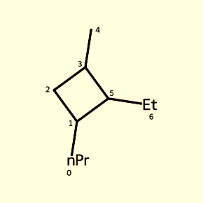 CCCC1CC(C)C1CC